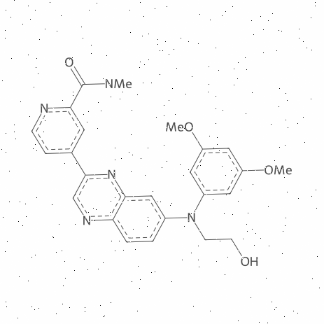 CNC(=O)c1cc(-c2cnc3ccc(N(CCO)c4cc(OC)cc(OC)c4)cc3n2)ccn1